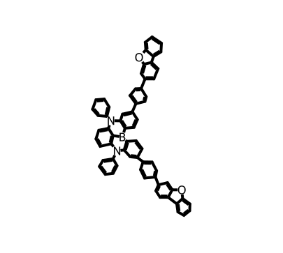 c1ccc(N2c3cc(-c4ccc(-c5ccc6c(c5)oc5ccccc56)cc4)ccc3B3c4ccc(-c5ccc(-c6ccc7c(c6)oc6ccccc67)cc5)cc4N(c4ccccc4)c4cccc2c43)cc1